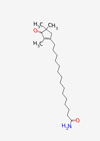 CC1=C(CCCCCCCCCCCCCCC(N)=O)CC(C)(C)C1=O